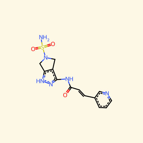 NS(=O)(=O)N1Cc2[nH]nc(NC(=O)C=Cc3cccnc3)c2C1